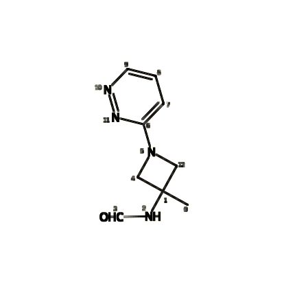 CC1(NC=O)CN(c2cccnn2)C1